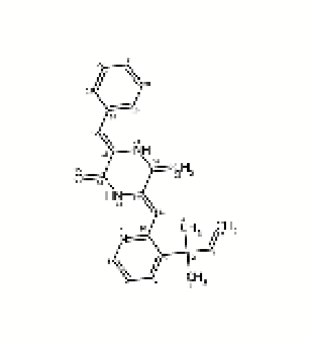 C=CC(C)(C)c1cccnc1/C=C1\NC(=O)/C(=C/c2ccccc2)NC1=C